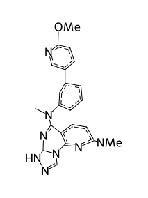 CNc1ccc2c(n1)N1C=NNC1N=C2N(C)c1cccc(-c2ccc(OC)nc2)c1